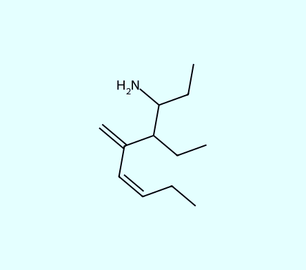 C=C(/C=C\CC)C(CC)C(N)CC